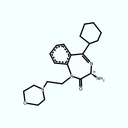 N[C@@H]1N=C(C2CCCCC2)c2ccccc2N(CCN2CCOCC2)C1=O